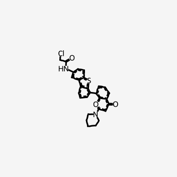 O=C(CCl)Nc1ccc2sc3c(-c4cccc5c(=O)cc(N6CCCCC6)oc45)cccc3c2c1